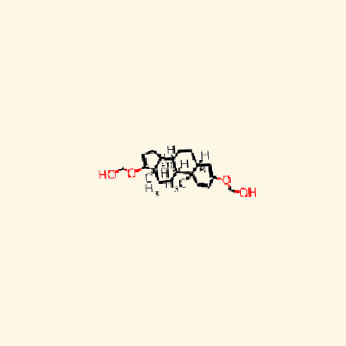 C[C@]12C=CC(OCO)=C[C@H]1CC[C@@H]1[C@@H]2CC[C@]2(C)C(OCO)=CC[C@@H]12